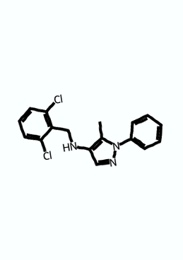 Cc1c(NCc2c(Cl)cccc2Cl)cnn1-c1ccccc1